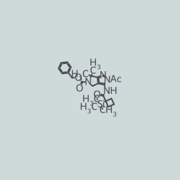 CC(=O)n1nc2c(c1NC(=O)C1([Si](C)(C)C)CCC1)CN(C(=O)OCc1ccccc1)C2(C)C